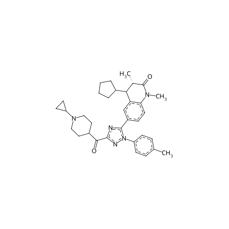 Cc1ccc(-n2nc(C(=O)C3CCN(C4CC4)CC3)nc2-c2ccc3c(c2)C(C2CCCC2)[C@H](C)C(=O)N3C)cc1